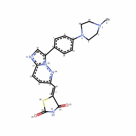 CC(C)N1CCN(c2ccc(-c3cnc4ccc(/C=C5\SC(=O)NC5=O)nn34)cc2)CC1